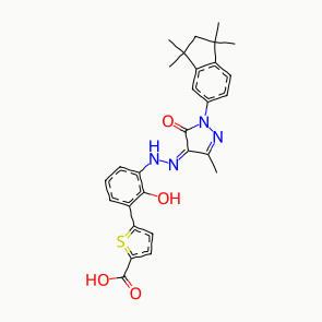 CC1=NN(c2ccc3c(c2)C(C)(C)CC3(C)C)C(=O)C1=NNc1cccc(-c2ccc(C(=O)O)s2)c1O